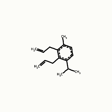 C=CCc1c(C)ccc(C(C)C)c1CC=C